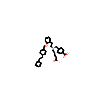 O=C(O)CCCCN(CCC1=CC=CCC1OCC1=CCC(CCc2ccccc2)C=C1)Cc1ccc(C(=O)O)cc1